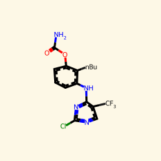 CCCCc1c(Nc2nc(Cl)ncc2C(F)(F)F)cccc1OC(N)=O